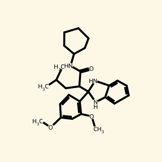 COc1ccc(C2(C(CC(C)C)C(=O)NC3CCCCC3)Nc3ccccc3N2)c(OC)c1